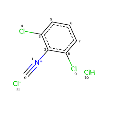 C#[N+]c1c(Cl)cccc1Cl.Cl.[Cl-]